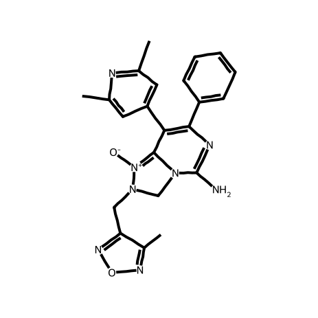 Cc1cc(C2=C(c3ccccc3)N=C(N)N3CN(Cc4nonc4C)[N+]([O-])=C23)cc(C)n1